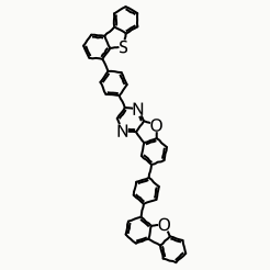 c1ccc2c(c1)oc1c(-c3ccc(-c4ccc5oc6nc(-c7ccc(-c8cccc9c8sc8ccccc89)cc7)cnc6c5c4)cc3)cccc12